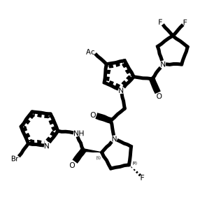 CC(=O)c1cc(C(=O)N2CCC(F)(F)C2)n(CC(=O)N2C[C@H](F)C[C@H]2C(=O)Nc2cccc(Br)n2)c1